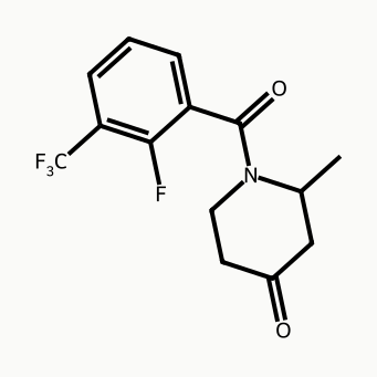 CC1CC(=O)CCN1C(=O)c1cccc(C(F)(F)F)c1F